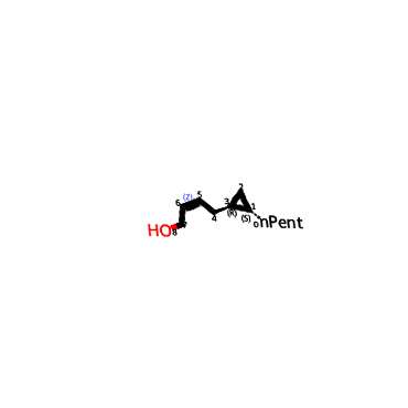 CCCCC[C@H]1C[C@@H]1C/C=C\CO